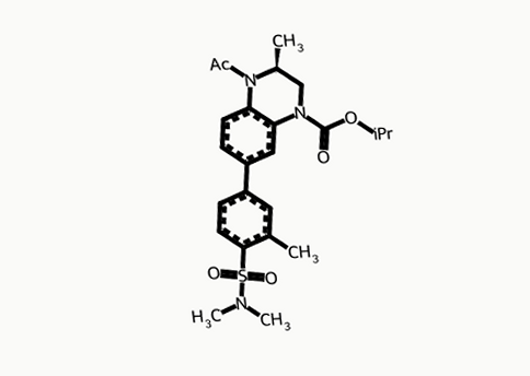 CC(=O)N1c2ccc(-c3ccc(S(=O)(=O)N(C)C)c(C)c3)cc2N(C(=O)OC(C)C)C[C@@H]1C